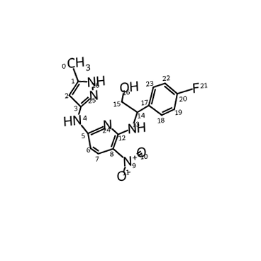 Cc1cc(Nc2ccc([N+](=O)[O-])c(NC(CO)c3ccc(F)cc3)n2)n[nH]1